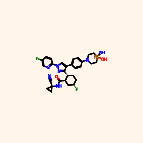 N#CC1(NC(=O)[C@@H]2C[C@@H](F)CC[C@H]2c2nn(-c3ccc(F)cn3)cc2-c2ccc(N3CC[SH](=N)(O)CC3)cc2)CC1